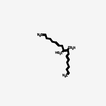 C=CCCCC=CC/C(C(=O)O)=C(/CC=CCCCC=C)C(=O)O